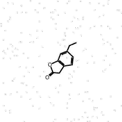 CCc1ccc2c(c1)OC(=O)C2